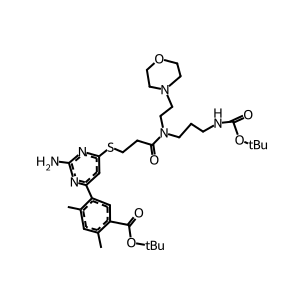 Cc1cc(C)c(-c2cc(SCCC(=O)N(CCCNC(=O)OC(C)(C)C)CCN3CCOCC3)nc(N)n2)cc1C(=O)OC(C)(C)C